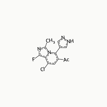 CC(=O)c1cc(Cl)c2c(F)nc(C)n2c1-c1cn[nH]c1